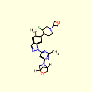 Cc1nc(N2C[C@@H]3C[C@H]2CO3)cc(-n2ncc3cc(C)c(C4CCN(C5COC5)CC4F)cc32)n1